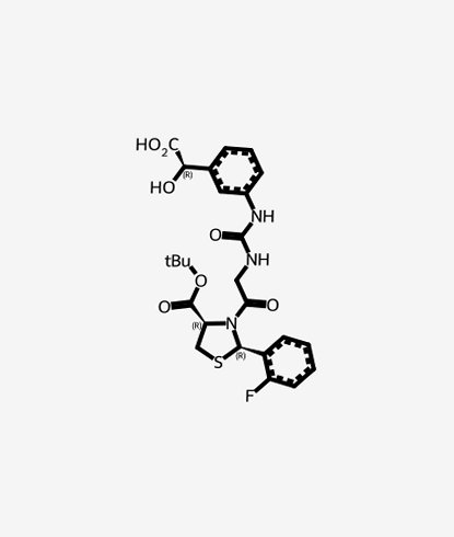 CC(C)(C)OC(=O)[C@@H]1CS[C@H](c2ccccc2F)N1C(=O)CNC(=O)Nc1cccc([C@@H](O)C(=O)O)c1